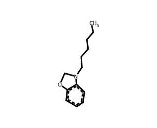 CCCCCCN1COc2ccccc21